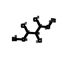 CCOC(Cl)C(Cl)C(Cl)OCC